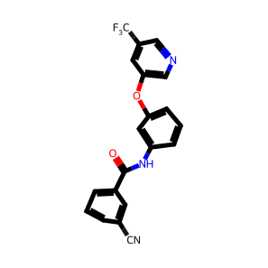 N#Cc1cccc(C(=O)Nc2cccc(Oc3cncc(C(F)(F)F)c3)c2)c1